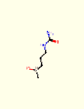 C[SiH](O)CCCNC(N)=O